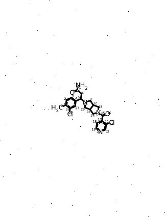 Cc1ccc(C(CC(N)=O)N2CC3CN(C(=O)c4ccncc4Cl)CC3C2)cc1Cl